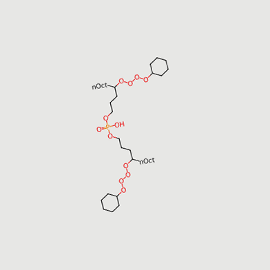 CCCCCCCCC(CCCOP(=O)(O)OCCCC(CCCCCCCC)OOOOC1CCCCC1)OOOOC1CCCCC1